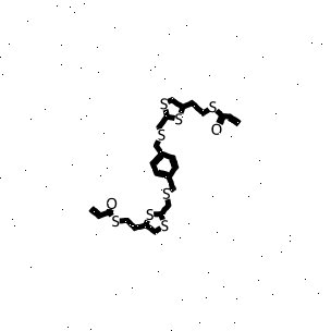 C=CC(=O)SCCC1CSC(CSCc2ccc(CSCC3SCC(CCSC(=O)C=C)S3)cc2)S1